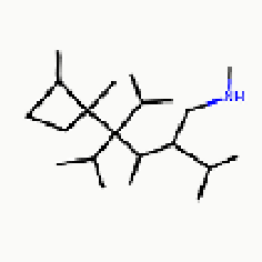 CNCC(C(C)C)C(C)C(C(C)C)(C(C)C)C1(C)CCC1C